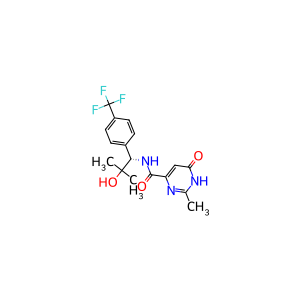 Cc1nc(C(=O)N[C@@H](c2ccc(C(F)(F)F)cc2)C(C)(C)O)cc(=O)[nH]1